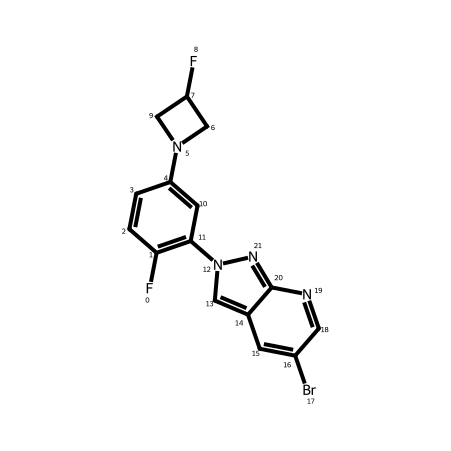 Fc1ccc(N2CC(F)C2)cc1-n1cc2cc(Br)cnc2n1